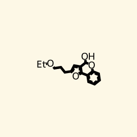 CCOCCCc1cc2c(o1)-c1ccccc1OC2O